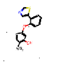 O=[N+]([O-])c1ccc(Oc2ccccc2-c2cncs2)cc1O